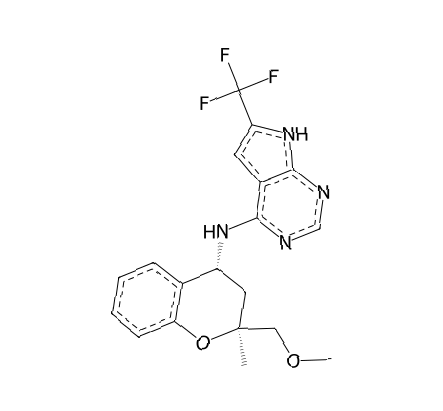 COC[C@]1(C)C[C@@H](Nc2ncnc3[nH]c(C(F)(F)F)cc23)c2ccccc2O1